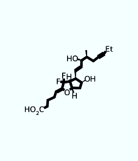 CCC#CC[C@H](C)[C@H](O)/C=C/[C@@H]1[C@@H]2[C@H](C[C@H]1O)O/C(=C\CCCC(=O)O)C2(F)F